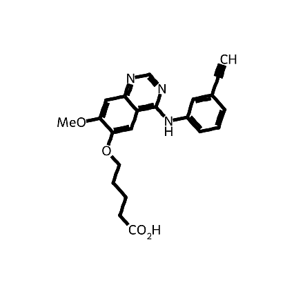 C#Cc1cccc(Nc2ncnc3cc(OC)c(OCCCCC(=O)O)cc23)c1